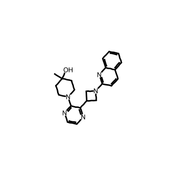 CC1(O)CCN(c2nccnc2C2CN(c3ccc4ccccc4n3)C2)CC1